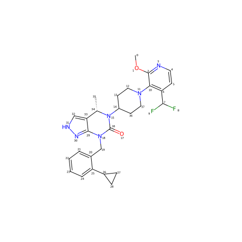 COc1nccc(C(F)F)c1N1CCC(N2C(=O)N(Cc3ccccc3C3CC3)c3n[nH]cc3[C@@H]2C)CC1